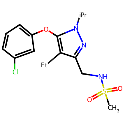 CCc1c(CNS(C)(=O)=O)nn(C(C)C)c1Oc1cccc(Cl)c1